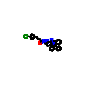 O=C(CCCc1ccc(Cl)cc1)NCC1CCc2c(ncn2C(c2ccccc2)(c2ccccc2)c2ccccc2)C1